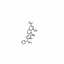 CC(=O)OCC1=C(C(=O)O)N2C(=O)[C@@H](NC(=O)C(N)c3ccccc3)[C@H]2SC1